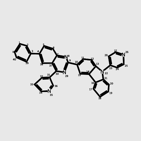 c1ccc(-c2ccc3nc(-c4ccc5c(c4)c4ccccc4n5-c4ccncc4)nc(-c4cccnc4)c3c2)cc1